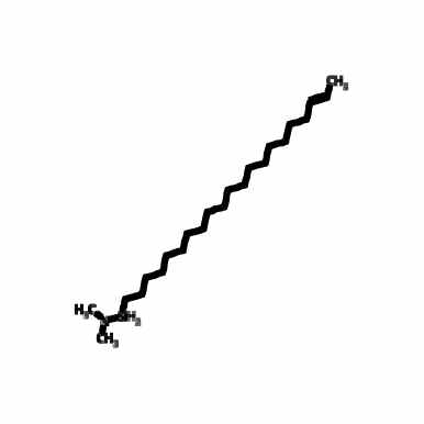 CC=CCCCCCCCCCCCCCCCCCC[SiH2]N(C)C